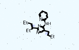 CC/C=C/c1cnc(/C(=C/CC)CC)nc1Nc1ccccn1